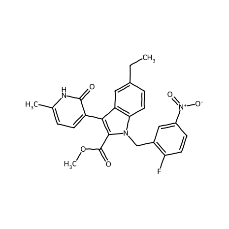 CCc1ccc2c(c1)c(-c1ccc(C)[nH]c1=O)c(C(=O)OC)n2Cc1cc([N+](=O)[O-])ccc1F